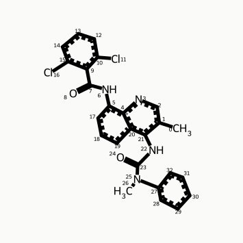 Cc1cnc2c(NC(=O)c3c(Cl)cccc3Cl)cccc2c1NC(=O)N(C)c1ccccc1